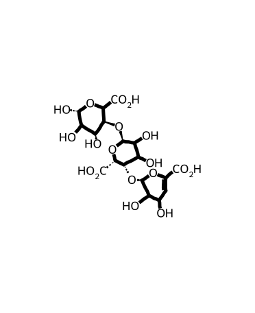 O=C(O)C1=CC(O)C(O)[C@H](O[C@H]2C(O)C(O)[C@H](O[C@@H]3C(C(=O)O)O[C@@H](O)C(O)[C@H]3O)O[C@H]2C(=O)O)O1